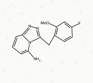 COc1cc(F)ccc1Cc1nnc2cccc(N)n12